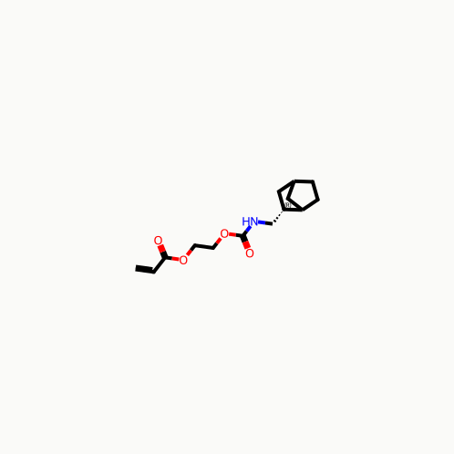 C=CC(=O)OCCOC(=O)NC[C@@H]1CC2CCC1C2